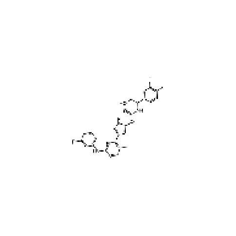 Cc1ccc(C(CO)NC(=O)Oc2cc(-c3nc(Nc4cccc(F)c4)ncc3C)c[nH]2)cc1F